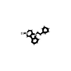 CCN1CCc2c(c3ccccc3n2CCc2ccccc2)C1